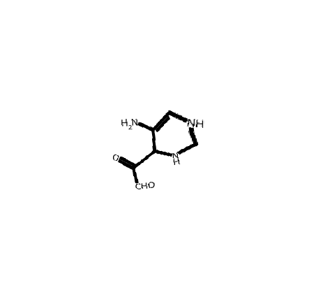 NC1=CNCNC1C(=O)C=O